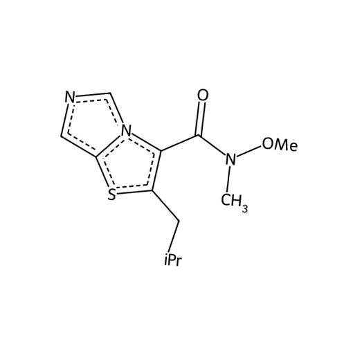 CON(C)C(=O)c1c(CC(C)C)sc2cncn12